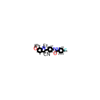 CCN1c2cc(OC(C)C)ccc2C(C#N)C1c1ccc(NC(=O)c2ccc(F)cc2)cc1